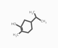 CC1=C(O)CC(C(C)C)CC1